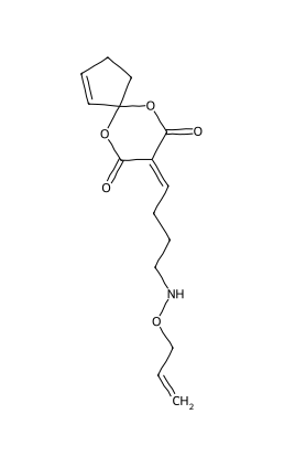 C=CCONCCCC=C1C(=O)OC2(C=CCC2)OC1=O